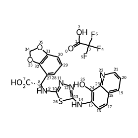 O=C(O)C(F)(F)F.O=C(O)[C@@H](Nc1nnc(Nc2ccc3cccnc3c2O)s1)c1cccc2c1OCO2